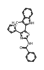 Cc1c(-c2sc(NC(=O)c3ccccc3)nc2-c2ccco2)[nH]c2ccccc12